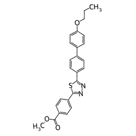 CCCOc1ccc(-c2ccc(-c3nnc(-c4ccc(C(=O)OC)cc4)s3)cc2)cc1